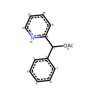 CC(=O)OC(c1ccccc1)c1ccccn1